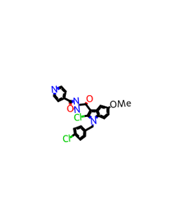 COc1ccc2c(c1)c(C(=O)c1noc(-c3ccncc3)n1)c(Cl)n2Cc1ccc(Cl)cc1